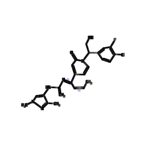 C=C(/N=C(\C=C/C)c1ccn(C(CO)c2ccc(Cl)c(F)c2)c(=O)c1)Nc1cn(C)nc1C